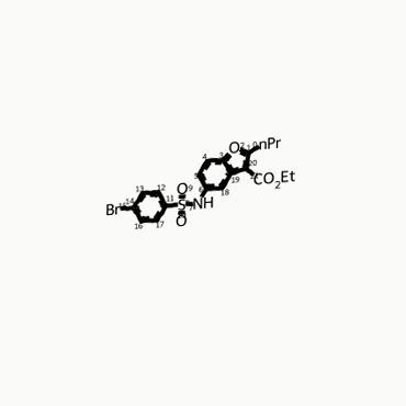 CCCc1oc2ccc(NS(=O)(=O)c3ccc(Br)cc3)cc2c1C(=O)OCC